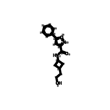 O=C(NC1CC(CCO)C1)c1cc(-c2ccccc2)on1